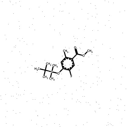 COC(=O)c1cc(F)c(O[Si](C)(C)C(C)(C)C)cc1C